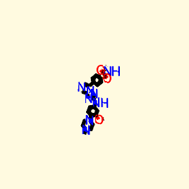 CNS(=O)(=O)c1ccc(-c2cncc3nc(Nc4ccc(N5CCN(C)CC5)c(OC)c4)nn23)cc1